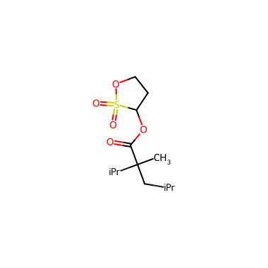 CC(C)CC(C)(C(=O)OC1CCOS1(=O)=O)C(C)C